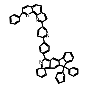 c1ccc(-c2ccc3ccc4ccc(-c5ccc(-c6ccc(-c7nc8ccccc8c8cc9c(cc78)-c7ccccc7C9(c7ccccc7)c7ccccc7)cc6)nc5)nc4c3n2)cc1